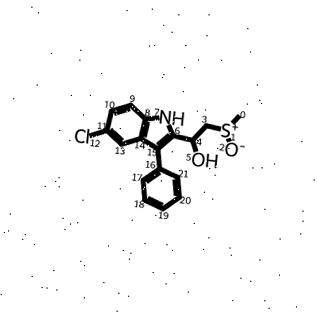 C[S+]([O-])CC(O)c1[nH]c2ccc(Cl)cc2c1-c1ccccc1